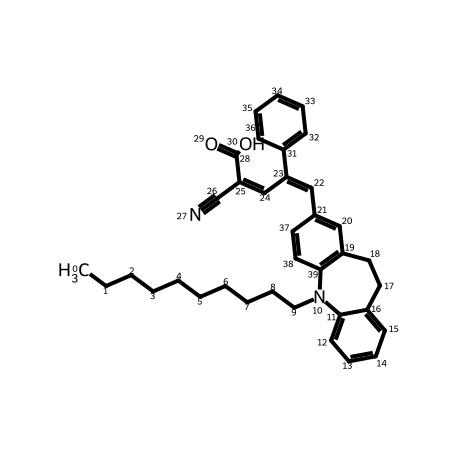 CCCCCCCCCCN1c2ccccc2CCc2cc(/C=C(\C=C(\C#N)C(=O)O)c3ccccc3)ccc21